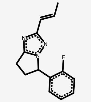 CC=Cc1nc2n(n1)C(c1ccccc1F)CC2